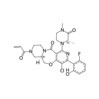 C=CC(=O)N1CCN2C(=O)c3c(N4CCN(C)C(=O)[C@@H]4C)nc(-c4c(O)cccc4F)c(Cl)c3OC[C@H]2C1